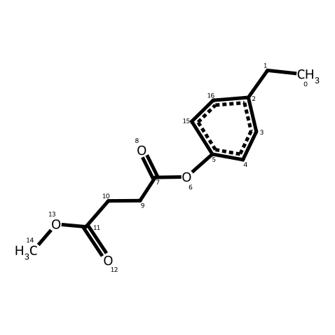 CCc1ccc(OC(=O)CCC(=O)OC)cc1